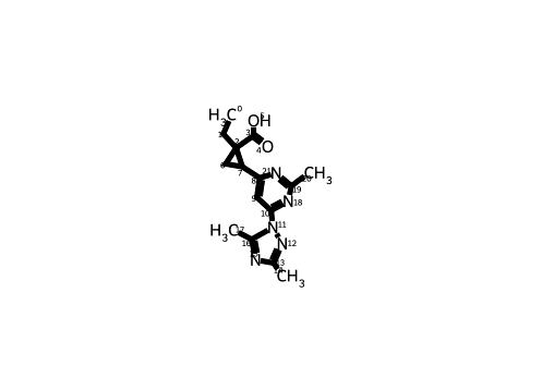 CCC1(C(=O)O)CC1c1cc(-n2nc(C)nc2C)nc(C)n1